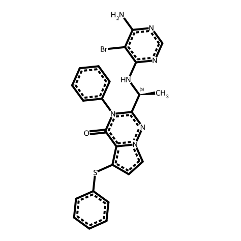 C[C@H](Nc1ncnc(N)c1Br)c1nn2ccc(Sc3ccccc3)c2c(=O)n1-c1ccccc1